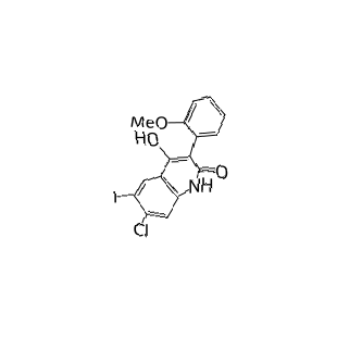 COc1ccccc1-c1c(O)c2cc(I)c(Cl)cc2[nH]c1=O